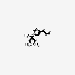 CCC(C)(CC)n1cc(CCF)nn1